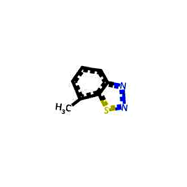 Cc1cccc2nnsc12